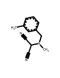 Cc1cccc(CN(C)C(C#N)C#N)c1